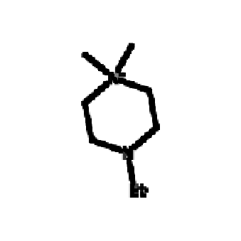 C[CH]N1CC[N+](C)(C)CC1